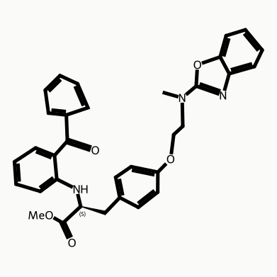 COC(=O)[C@H](Cc1ccc(OCCN(C)c2nc3ccccc3o2)cc1)Nc1ccccc1C(=O)c1ccccc1